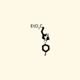 CCOC(=O)CCc1cn([C@H]2CC[C@H](C)CC2)cn1